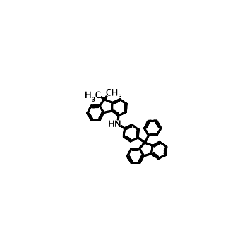 CC1(C)c2ccccc2-c2c(Nc3ccc(C4(c5ccccc5)c5ccccc5-c5ccccc54)cc3)cccc21